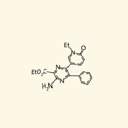 CCOC(=O)c1nc(-c2ccc(=O)n(CC)c2)c(-c2ccccc2)nc1N